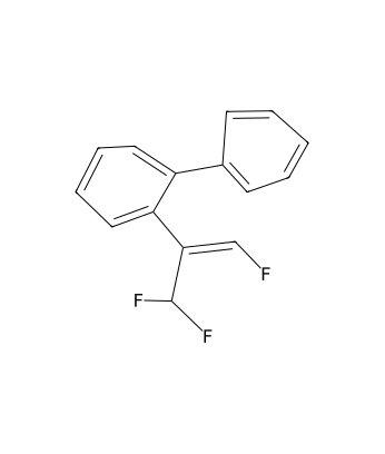 FC=C(c1ccccc1-c1ccccc1)C(F)F